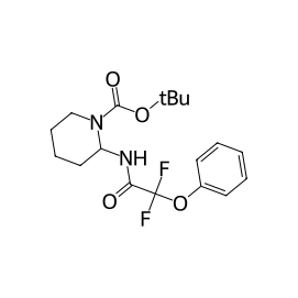 CC(C)(C)OC(=O)N1CCCCC1NC(=O)C(F)(F)Oc1ccccc1